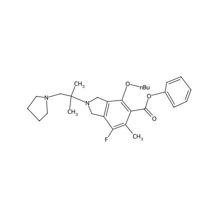 CCCCOc1c2c(c(F)c(C)c1C(=O)Oc1ccccc1)CN(C(C)(C)CN1CCCC1)C2